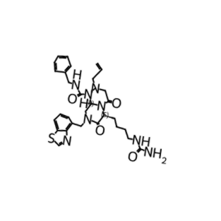 C=CCN1CC(=O)N2[C@@H](CCCCNC(N)=O)C(=O)N(Cc3cccc4scnc34)C[C@@H]2N1C(=O)NCc1ccccc1